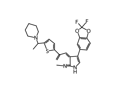 C=C(/C=C1/C(c2ccc3c(c2)OC(F)(F)O3)=CN/C1=N/C)c1ccc(C(C)N2CCCCC2)s1